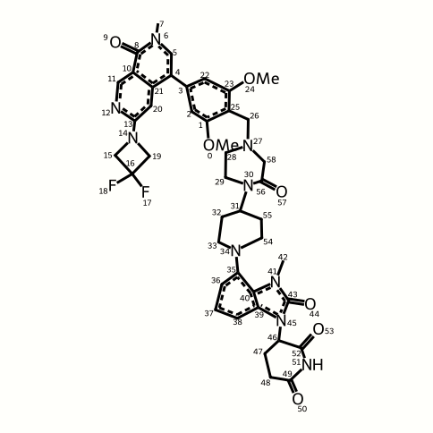 COc1cc(-c2cn(C)c(=O)c3cnc(N4CC(F)(F)C4)cc23)cc(OC)c1CN1CCN(C2CCN(c3cccc4c3n(C)c(=O)n4C3CCC(=O)NC3=O)CC2)C(=O)C1